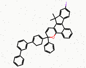 CC1(C)c2cc(I)ccc2-c2c1c1c(c3ccccc23)OC(C2=CC=C(c3cccc(-c4ccccc4)c3)CC2)(c2ccccc2)C=C1